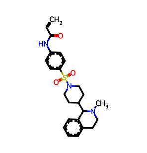 C=CC(=O)Nc1ccc(S(=O)(=O)N2CCC(C3c4ccccc4CCN3C)CC2)cc1